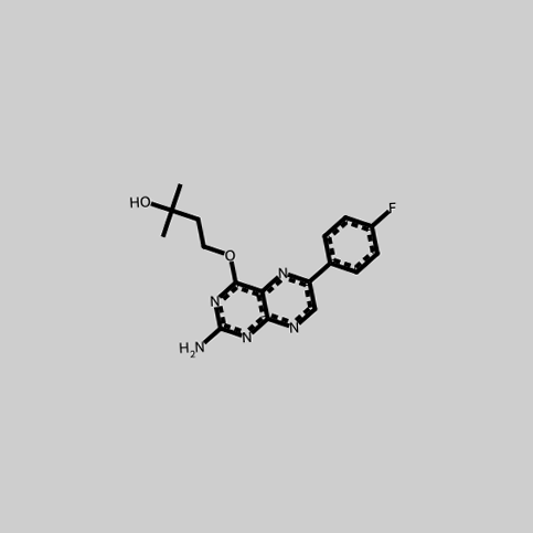 CC(C)(O)CCOc1nc(N)nc2ncc(-c3ccc(F)cc3)nc12